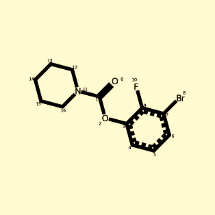 O=C(Oc1cccc(Br)c1F)N1CCCCC1